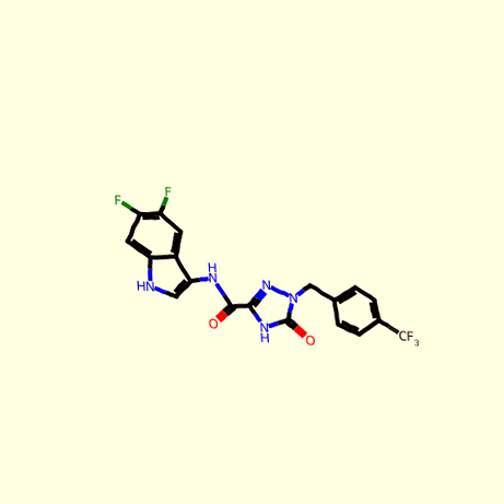 O=C(Nc1c[nH]c2cc(F)c(F)cc12)c1nn(Cc2ccc(C(F)(F)F)cc2)c(=O)[nH]1